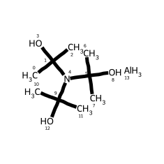 CC(C)(O)N(C(C)(C)O)C(C)(C)O.[AlH3]